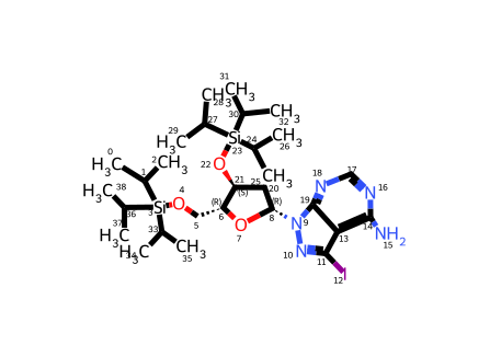 CC(C)[Si](OC[C@H]1O[C@@H](n2nc(I)c3c(N)ncnc32)C[C@@H]1O[Si](C(C)C)(C(C)C)C(C)C)(C(C)C)C(C)C